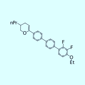 CCCC1CC=C(c2ccc(-c3ccc(-c4ccc(OCC)c(F)c4F)cc3)cc2)OC1